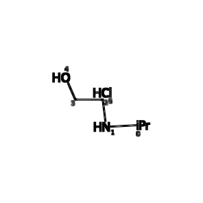 CC(C)NCCO.Cl